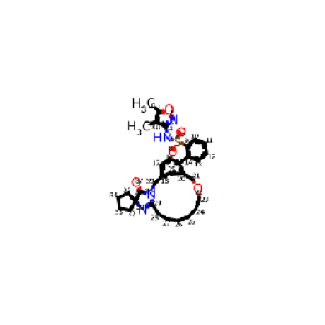 Cc1onc(NS(=O)(=O)c2ccccc2-c2ccc3cc2COCCCCCCC2=NC4(CCCC4)C(=O)N2C3)c1C